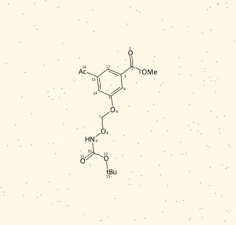 COC(=O)c1cc(OCONC(=O)OC(C)(C)C)cc(C(C)=O)c1